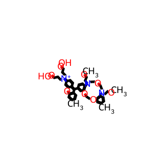 COCCN1CCOCCN(CCOC)c2ccc(-c3c4ccc(=[N+](CCCOO)CCCOO)cc-4oc4cc(C)ccc34)cc2OCCOc2cc(C)ccc21